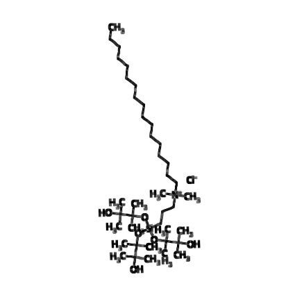 CCCCCCCCCCCCCCCCC[N+](C)(C)CCC[Si](OC(C)(C)C(C)(C)O)(OC(C)(C)C(C)(C)O)OC(C)(C)C(C)(C)O.[Cl-]